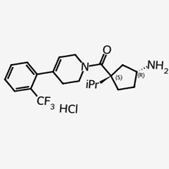 CC(C)[C@]1(C(=O)N2CC=C(c3ccccc3C(F)(F)F)CC2)CC[C@@H](N)C1.Cl